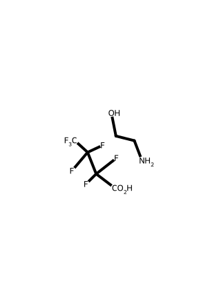 NCCO.O=C(O)C(F)(F)C(F)(F)C(F)(F)F